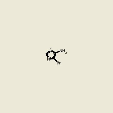 Nc1scnc1Br